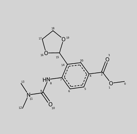 COC(=O)c1ccc(NC(=O)N(C)C)c(C2OCCO2)c1